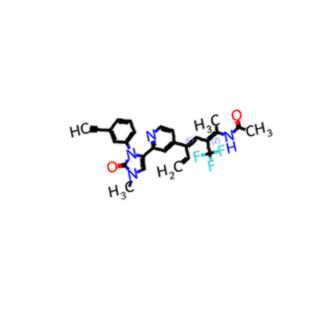 C#Cc1cccc(-n2c(-c3cc(/C(C=C)=C/C(=C(\C)NC(C)=O)C(F)(F)F)ccn3)cn(C)c2=O)c1